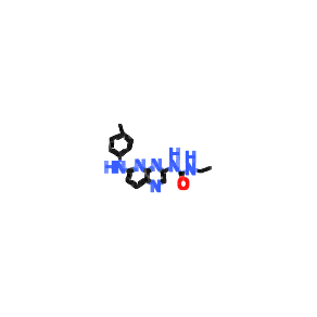 CCNC(=O)Nc1cnc2ccc(Nc3ccc(C)cc3)nc2n1